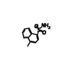 Cc1ccc(S(N)(=O)=O)c2ccccc12